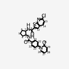 O=C(NC1CCCC1NC(=O)c1cc2ccc(Cl)nc2s1)c1ccc(-n2ccccc2=O)cc1